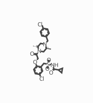 C[C@@H]1CN(Cc2ccc(Cl)cc2)[C@@H](C)CN1C(=O)COc1ccc(Cl)cc1CS(=O)(=O)NC(=O)C1CC1